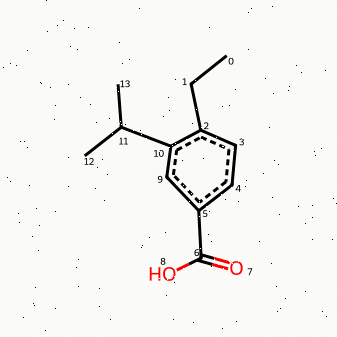 CCc1ccc(C(=O)O)cc1C(C)C